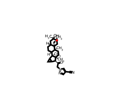 COC[C@]12CC[C@@](C)(O)C[C@H]1CC[C@@H]1[C@]2(C)CC[C@]2(C)[C@@H](C(=O)Cn3cc(C#N)cn3)C3CC3[C@@]12C